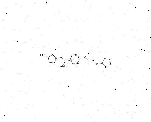 CN[C@H](CN1CC[C@H](O)C1)c1ccc(OCCOC2CCCO2)cc1